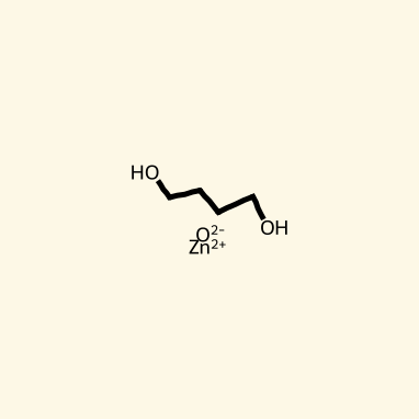 OCCCCO.[O-2].[Zn+2]